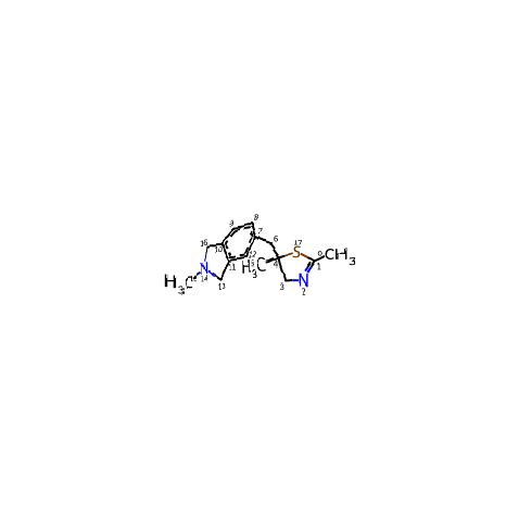 CC1=NCC(C)(Cc2ccc3c(c2)CN(C)C3)S1